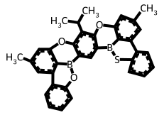 Cc1cc2c3c(c1)-c1ccccc1OB3c1cc3c(c(C(C)C)c1O2)Oc1cc(C)cc2c1B3Sc1ccccc1-2